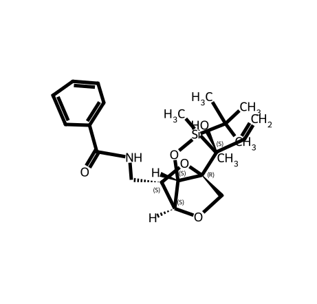 C=C[C@H](O)[C@@]12CO[C@@H]([C@H](CNC(=O)c3ccccc3)O1)[C@@H]2O[Si](C)(C)C(C)(C)C